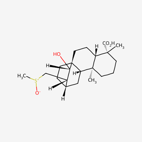 C[S+]([O-])C[C@H]1[C@H]2CC[C@@]3(CC[C@H]4[C@@](C)(CCC[C@@]4(C)C(=O)O)[C@@H]3C2)[C@H]1O